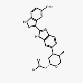 CCN(CC)C[C@@H]1CN(c2ccc3nc(-c4n[nH]c5ccc(OC)cc45)[nH]c3c2)[C@@H](C)CO1